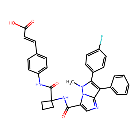 Cn1c(-c2ccc(F)cc2)c(-c2ccccc2)c2ncc(C(=O)NC3(C(=O)Nc4ccc(/C=C/C(=O)O)cc4)CCC3)n21